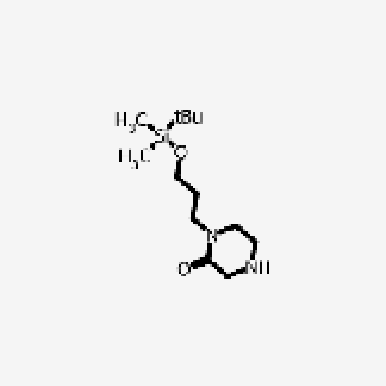 CC(C)(C)[Si](C)(C)OCCCN1CCNCC1=O